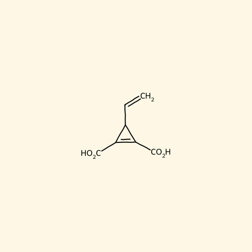 C=CC1C(C(=O)O)=C1C(=O)O